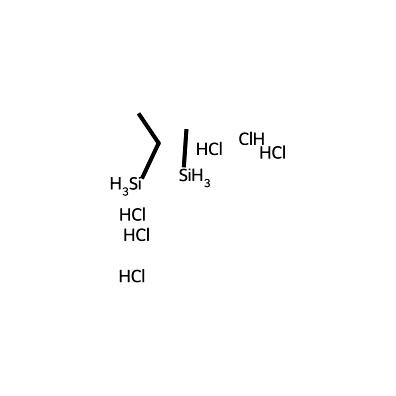 CC[SiH3].C[SiH3].Cl.Cl.Cl.Cl.Cl.Cl